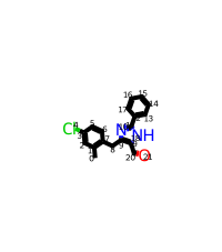 Cc1cc(Cl)ccc1Cc1nc(-c2ccccc2)[nH]c1C=O